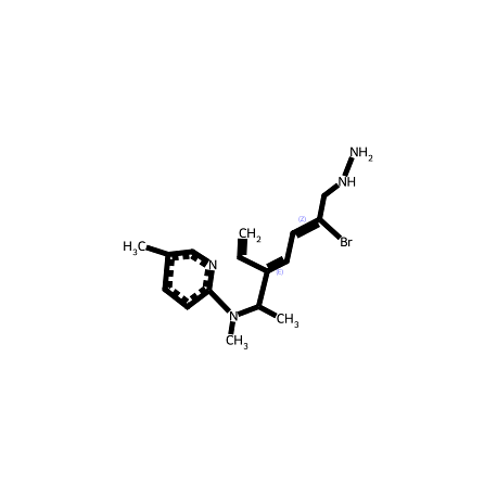 C=C/C(=C\C=C(/Br)CNN)C(C)N(C)c1ccc(C)cn1